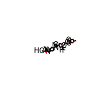 Cc1ccc(S(=O)(=O)OCCOc2ccc(-c3nc(-c4ccc(Cn5cc(CO)nn5)cc4)no3)cc2C(F)(F)F)cc1